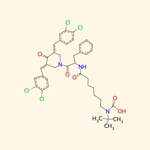 CC(C)(C)N(CCCCCCC(=O)NC(Cc1ccccc1)C(=O)N1C/C(=C\c2ccc(Cl)c(Cl)c2)C(=O)/C(=C/c2ccc(Cl)c(Cl)c2)C1)C(=O)O